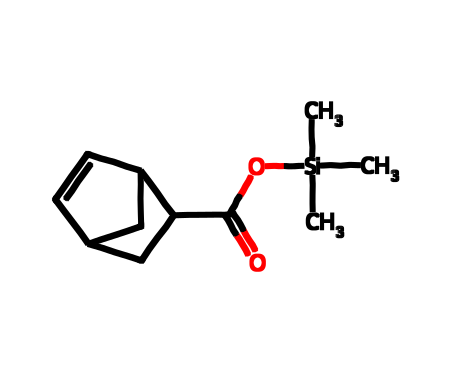 C[Si](C)(C)OC(=O)C1CC2C=CC1C2